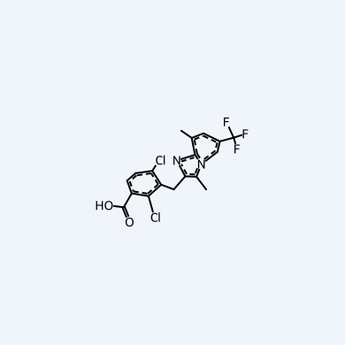 Cc1cc(C(F)(F)F)cn2c(C)c(Cc3c(Cl)ccc(C(=O)O)c3Cl)nc12